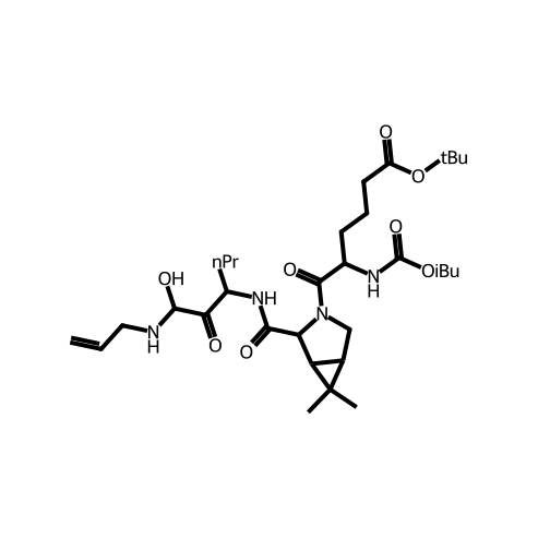 C=CCNC(O)C(=O)C(CCC)NC(=O)C1C2C(CN1C(=O)C(CCCC(=O)OC(C)(C)C)NC(=O)OCC(C)C)C2(C)C